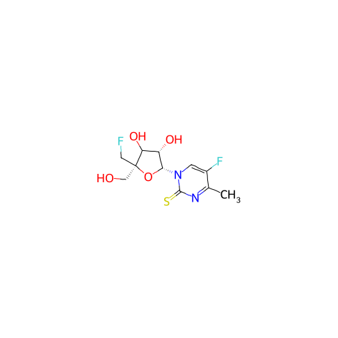 Cc1nc(=S)n([C@@H]2O[C@@](CO)(CF)C(O)[C@@H]2O)cc1F